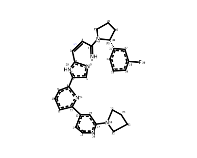 N=C(/C=C\c1ncc(-c2cccc(-c3ccnc(N4CCCC4)c3)n2)[nH]1)N1CCC[C@@H]1c1cccc(F)c1